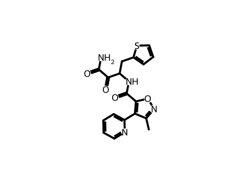 Cc1noc(C(=O)NC(Cc2cccs2)C(=O)C(N)=O)c1-c1ccccn1